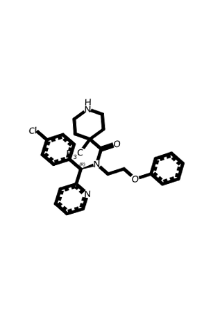 CC1(C(=O)N(CCOc2ccccc2)[C@H](c2ccc(Cl)cc2)c2ccccn2)CCNCC1